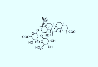 CC1(C)[C@@H](O[C@H]2O[C@H](C(=O)[O-])[C@@H](O)[C@H](O)[C@H]2O[C@@H]2O[C@H](C(=O)O)[C@@H](O)[C@H](O)[C@H]2O)CC[C@]2(C)[C@H]3C(=O)C=C4[C@@H]5C[C@@](C)(C(=O)[O-])CC[C@]5(C)CC[C@@]4(C)[C@]3(C)CC[C@@H]12.[Na+].[Na+]